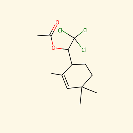 CC(=O)OC(C1CCC(C)(C)C=C1C)C(Cl)(Cl)Cl